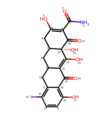 NC(=O)C1=C(O)CC2CC3Cc4c(I)ccc(O)c4C(=O)C3=C(O)[C@]2(O)C1=O